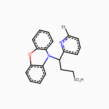 CCc1cccc(C(CCS(=O)(=O)O)N2c3ccccc3Oc3ccccc32)n1